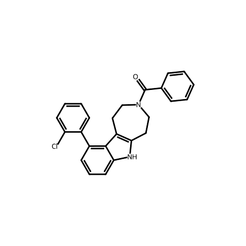 O=C(c1ccccc1)N1CCc2[nH]c3cccc(-c4ccccc4Cl)c3c2CC1